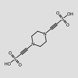 O=S(=O)(O)C#CN1CCN(C#CS(=O)(=O)O)CC1